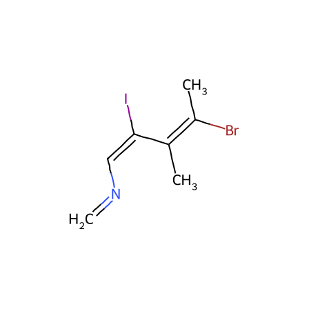 C=N/C=C(I)\C(C)=C(/C)Br